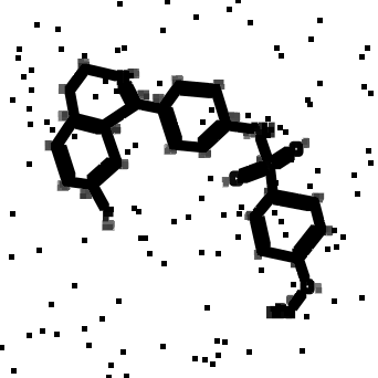 CCCCOc1ccc(S(=O)(=O)Nc2ccc(C3=NCCc4ccc(F)cc43)cc2)cc1